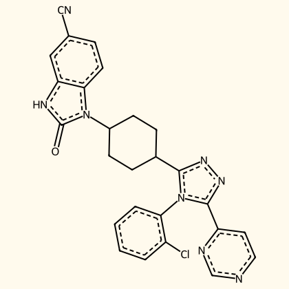 N#Cc1ccc2c(c1)[nH]c(=O)n2C1CCC(c2nnc(-c3ccncn3)n2-c2ccccc2Cl)CC1